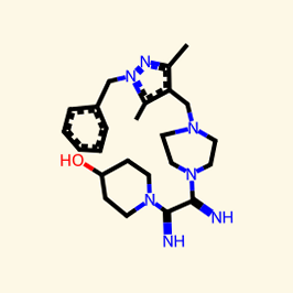 Cc1nn(Cc2ccccc2)c(C)c1CN1CCN(C(=N)C(=N)N2CCC(O)CC2)CC1